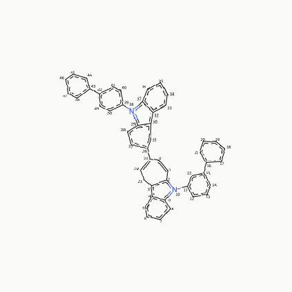 C1=Cc2c(c3ccccc3n2-c2cccc(-c3ccccc3)c2)CC=C1c1ccc2c(c1)c1ccccc1n2-c1ccc(-c2ccccc2)cc1